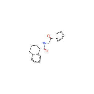 O=C(CNC(=O)C1CCCc2ccccc21)c1ccccc1